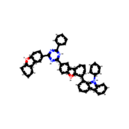 c1ccc(-c2nc(-c3ccc4oc5ccccc5c4c3)nc(-c3ccc4oc5c(-c6cccc7c8ccccc8n(-c8ccccc8)c67)cccc5c4c3)n2)cc1